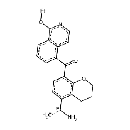 CCOc1nccc2c(C(=O)c3ccc([C@@H](C)N)c4c3OCCC4)cccc12